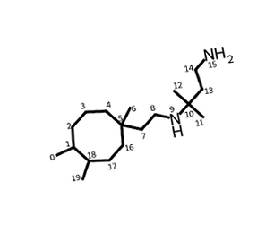 CC1CCCC(C)(CCNC(C)(C)CCN)CCC1C